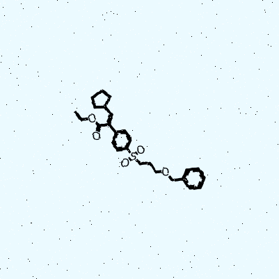 CCOC(=O)C(=CC1CCCC1)c1ccc(S(=O)(=O)CCCOCc2ccccc2)cc1